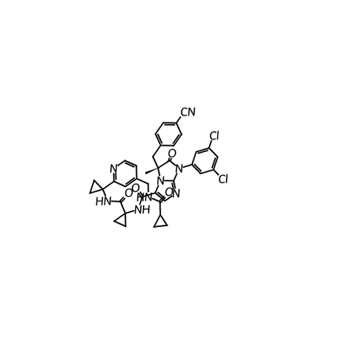 C[C@@]1(Cc2ccc(C#N)cc2)C(=O)N(c2cc(Cl)cc(Cl)c2)c2ncc(C(=O)NC3(C(=O)NC4(c5cc(CNC(=O)C6CC6)ccn5)CC4)CC3)n21